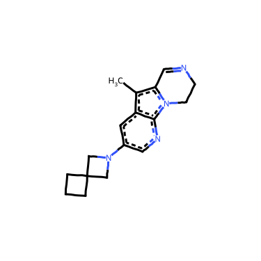 Cc1c2n(c3ncc(N4CC5(CCC5)C4)cc13)CCN=C2